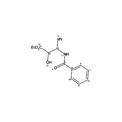 CCCC(NC(=O)c1ccccc1)C(O)C(=O)OCC